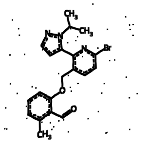 Cc1cccc(OCc2ccc(Br)nc2-c2ccnn2C(C)C)c1C=O